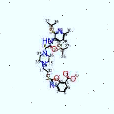 COC(=O)c1cccc2nc(SCCN3CCN(CC(=O)Nc4c(SC(C)C)cc(C)nc4SC(C)C)CC3)oc12